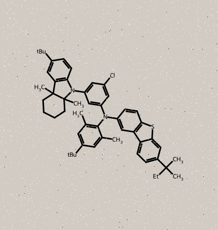 CCC(C)(C)c1ccc2c(c1)sc1ccc(N(c3cc(Cl)cc(N4c5ccc(C(C)(C)C)cc5C5(C)CCCCC45C)c3)c3c(C)cc(C(C)(C)C)cc3C)cc12